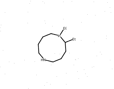 CC[CH]1CCCNCCC[CH2][In]1[CH2]C